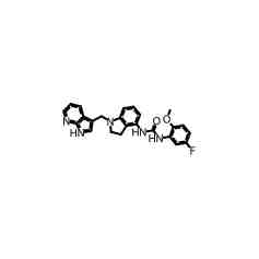 COc1ccc(F)cc1NC(=O)Nc1cccc2c1CCN2Cc1c[nH]c2ncccc12